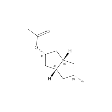 CC(=O)O[C@H]1C[C@H]2C[C@@H](C)C[C@H]2C1